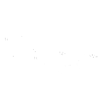 CSCC(C)C(=O)Nc1cn(-c2cccnc2C)nc1C